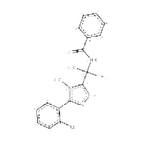 Cn1c(-c2ccccc2Cl)nnc1C(C)(C)NC(=O)c1ccccc1